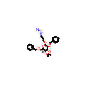 CC1(C)OC2C(OCc3ccccc3)[C@H](OCCCN=[N+]=[N-])OC(COCc3ccccc3)[C@@H]2O1